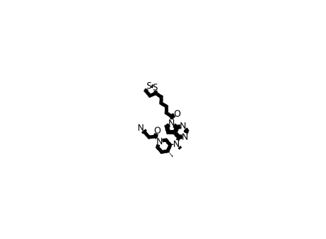 C[C@@H]1CCN(C(=O)CC#N)C[C@@H]1N(C)c1ncnc2c1ccn2C(=O)CCCCC1CCSS1